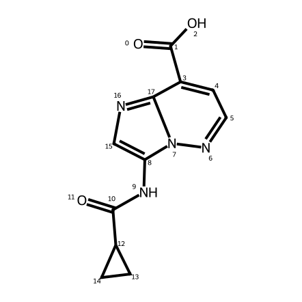 O=C(O)c1ccnn2c(NC(=O)C3CC3)cnc12